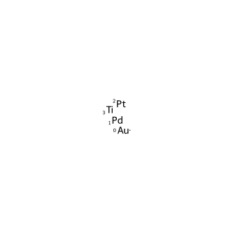 [Au].[Pd].[Pt].[Ti]